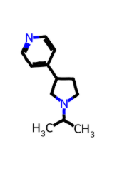 CC(C)N1CCC(c2ccncc2)C1